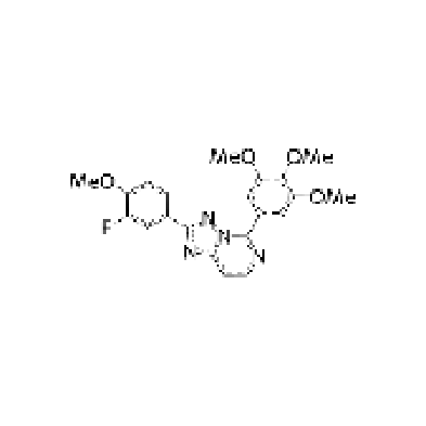 COc1ccc(-c2nc3ccnc(-c4cc(OC)c(OC)c(OC)c4)n3n2)cc1F